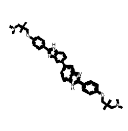 CN(C)CC(C)(C)COc1ccc(-c2nc3cc(-c4ccc5[nH]c(-c6ccc(OCC(C)(C)CN(C)C)cc6)nc5c4)ccc3[nH]2)cc1